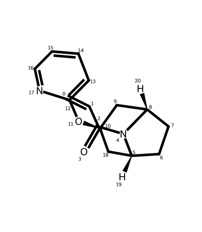 C=CC(=O)N1[C@@H]2CC[C@H]1C[C@H](Oc1ccccn1)C2